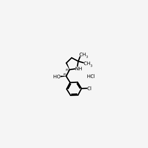 CC1(C)CC[C@H]([C@H](O)c2cccc(Cl)c2)N1.Cl